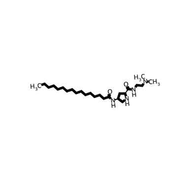 CCCCCCCCCCCCCCCC(=O)N[C@@H]1CN[C@H](C(=O)NCCN(C)C)C1